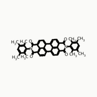 Cc1cc(C)c(C)c(N2C(=O)c3ccc4c5ccc6c7c(ccc(c8ccc(c3c48)C2=O)c75)C(=O)N(c2c(C)c(C)cc(C)c2C)C6=O)c1C